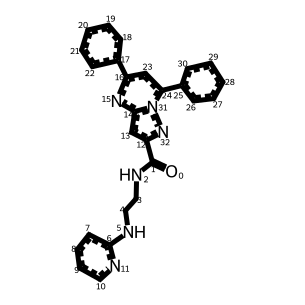 O=C(NCCNc1ccccn1)c1cc2nc(-c3ccccc3)cc(-c3ccccc3)n2n1